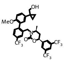 COc1ccc(C2(CO)CC2)cc1-c1ccc(C(F)(F)F)cc1CN1C(=O)O[C@H](c2cc(C(F)(F)F)cc(C(F)(F)F)c2)C[C@@H]1C